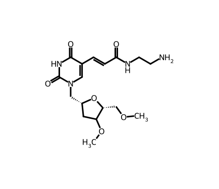 COC[C@H]1O[C@@H](Cn2cc(/C=C/C(=O)NCCN)c(=O)[nH]c2=O)CC1OC